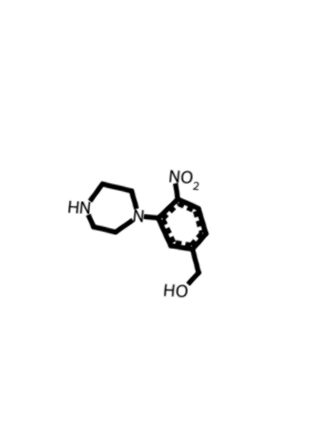 O=[N+]([O-])c1ccc(CO)cc1N1CCNCC1